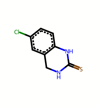 S=C1NCc2cc(Cl)ccc2N1